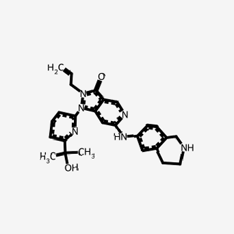 C=CCn1c(=O)c2cnc(Nc3ccc4c(c3)CCNC4)cc2n1-c1cccc(C(C)(C)O)n1